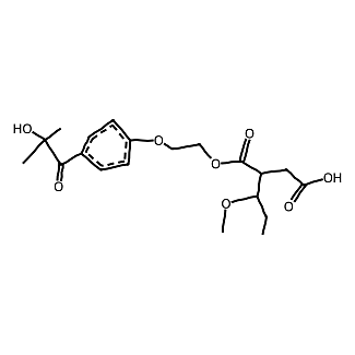 CCC(OC)C(CC(=O)O)C(=O)OCCOc1ccc(C(=O)C(C)(C)O)cc1